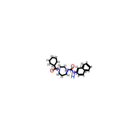 O=C(Nc1ccc2ccccc2c1)N1CCCN(C(=O)C2CCCCC2)CC1